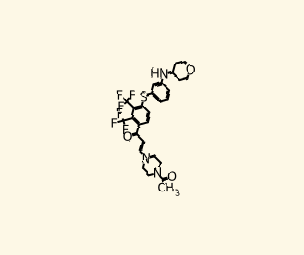 CC(=O)N1CCN(C=CC(=O)c2ccc(Sc3cccc(NC4CCOCC4)c3)c(C(F)(F)F)c2C(F)(F)F)CC1